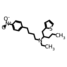 CCCC(Cc1cccs1)N(CC)CCCCc1ccc([N+](=O)[O-])cc1